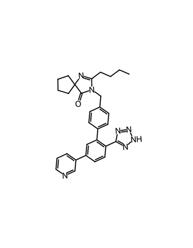 CCCCC1=NC2(CCCC2)C(=O)N1Cc1ccc(-c2cc(-c3cccnc3)ccc2-c2nn[nH]n2)cc1